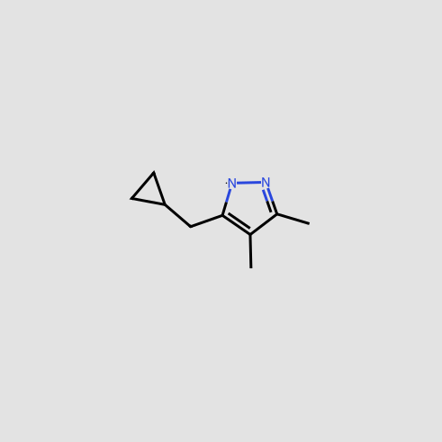 CC1=N[N]C(CC2CC2)=C1C